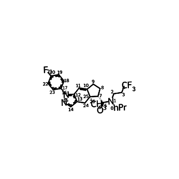 CCCN(CCC(F)(F)F)C(=O)[C@H]1CCC2=Cc3c(cnn3-c3ccc(F)cc3)C[C@@]21C